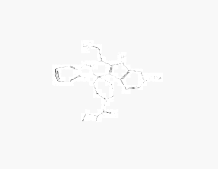 COc1ccc2c3c([nH]c2c1)C(CO)N(Cc1ccccc1F)CC31CCN(C(=O)C2CCC2)CC1